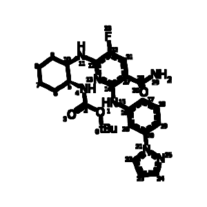 CC(C)(C)OC(=O)N[C@H]1CCCC[C@H]1Nc1nc(Nc2cccc(-n3cccn3)c2)c(C(N)=O)cc1F